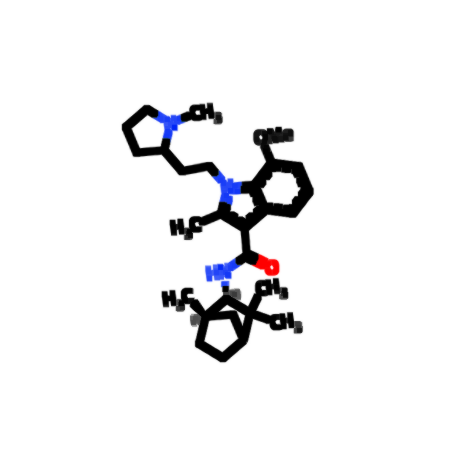 COc1cccc2c(C(=O)N[C@@H]3C(C)(C)C4CC[C@@]3(C)C4)c(C)n(CCC3CCCN3C)c12